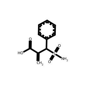 C=C(C(=O)O)C(c1ccccc1)S(N)(=O)=O